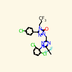 CC(F)(F)c1nc(Cn2nc(-c3ccc(Cl)cc3)n(CCC(F)(F)F)c2=O)nn1-c1c(Cl)cccc1Cl